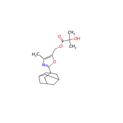 Cc1nc(C23CC4CC(CC(C4)C2)C3)oc1COC(=O)C(C)(C)O